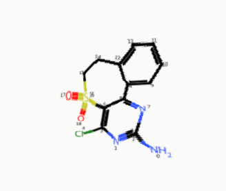 Nc1nc(Cl)c2c(n1)-c1ccccc1CCS2(=O)=O